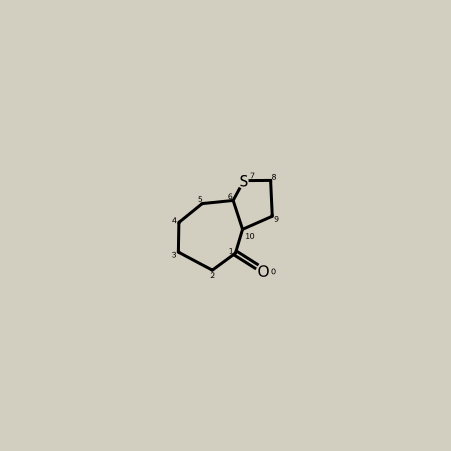 O=C1CCCCC2SCCC12